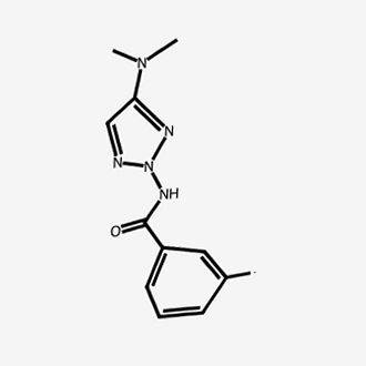 [CH2]c1cccc(C(=O)Nn2ncc(N(C)C)n2)c1